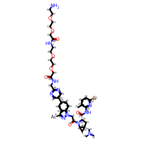 CC(=O)c1nn(CC(=O)N2C3C[C@]3(CN(C)C)C[C@H]2C(=O)Nc2nc(Br)ccc2C)c2ccc(-c3cnc(CNC(=O)COCCOCCNC(=O)COCCOCCN)nc3)cc12